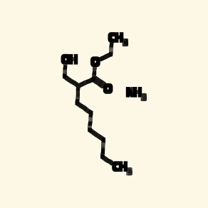 CCCCCCC(CO)C(=O)OCC.N